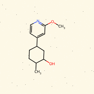 COc1cc(C2CCC(C)C(O)C2)ccn1